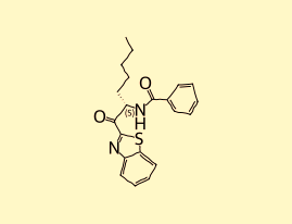 CCCCC[C@H](NC(=O)c1ccccc1)C(=O)c1nc2ccccc2s1